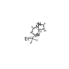 CCC(C)(C)c1ccn2nccc2n1